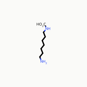 NCCCCCCCNC(=O)O